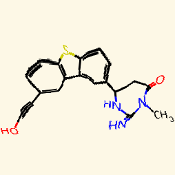 CN1C(=N)NC(c2ccc3sc4ccc(C#CO)cc4c3c2)CC1=O